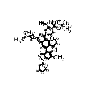 Cc1cc2c(cnn2C2CCCCO2)c(-c2cc3nc(N4CC(N(C)C)C4)nc(N4CCN(C(=O)OC(C)(C)C)[C@@H](CC#N)C4)c3c3c2CCCO3)c1Cl